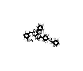 CCCc1cccc(CC(Nc2ncc(-c3ccc(OCc4ccccc4)cc3)nc2Cc2ccccc2)C(=O)O)c1